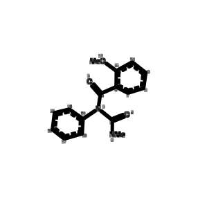 CNC(=O)N(C(=O)c1ccccc1OC)c1ccccc1